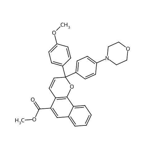 COC(=O)c1cc2ccccc2c2c1C=CC(c1ccc(OC)cc1)(c1ccc(N3CCOCC3)cc1)O2